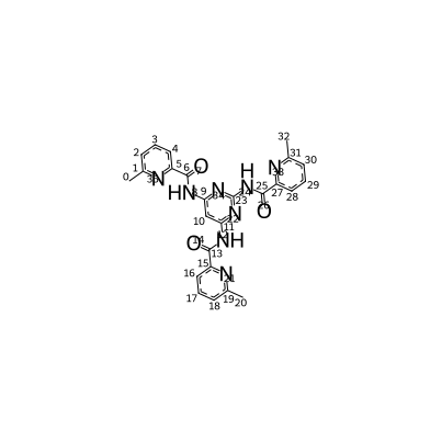 Cc1cccc(C(=O)Nc2cc(NC(=O)c3cccc(C)n3)nc(NC(=O)c3cccc(C)n3)n2)n1